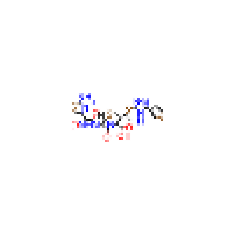 CON=C(C(=O)N[C@@H]1C(=O)N2C(C(=O)O)=C(C(C)Sc3nnc(-c4ccsc4)[nH]3)CS[C@@H]12)c1csc(N)n1